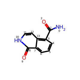 NC(=O)c1cccc2c(=O)[nH]ccc12